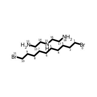 BrCCCCCCCCCCBr.NCCNCCN